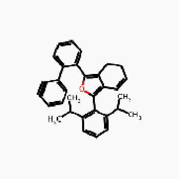 CC(C)c1cccc(C(C)C)c1-c1oc(-c2ccccc2-c2c#cccc2)c2c1C=CCC2